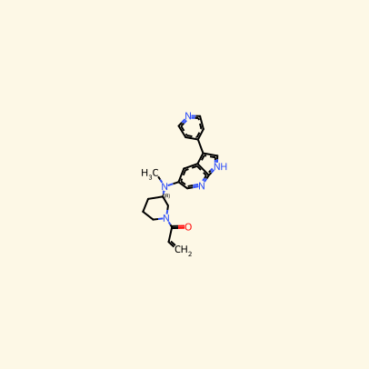 C=CC(=O)N1CCC[C@@H](N(C)c2cnc3[nH]cc(-c4ccncc4)c3c2)C1